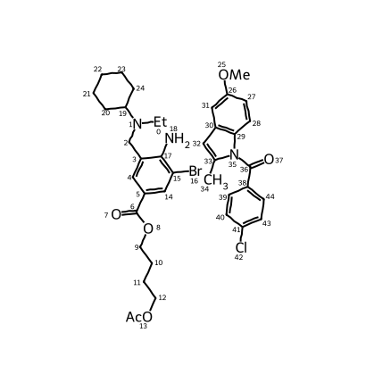 CCN(Cc1cc(C(=O)OCCCCOC(C)=O)cc(Br)c1N)C1CCCCC1.COc1ccc2c(c1)cc(C)n2C(=O)c1ccc(Cl)cc1